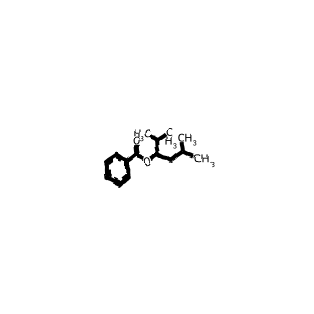 CC(C)CC(OC(=O)c1ccccc1)C(C)C